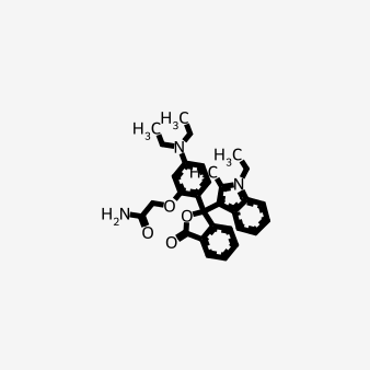 CCN(CC)c1ccc(C2(c3c(C)n(CC)c4ccccc34)OC(=O)c3ccccc32)c(OCC(N)=O)c1